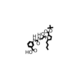 CCCCC1CCC(C(=O)OC(C)(C)C)N1C(=O)CNC(=O)Nc1cccc(C(=O)O)c1